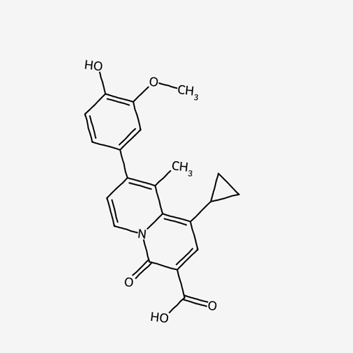 COc1cc(-c2ccn3c(=O)c(C(=O)O)cc(C4CC4)c3c2C)ccc1O